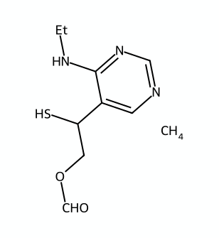 C.CCNc1ncncc1C(S)COC=O